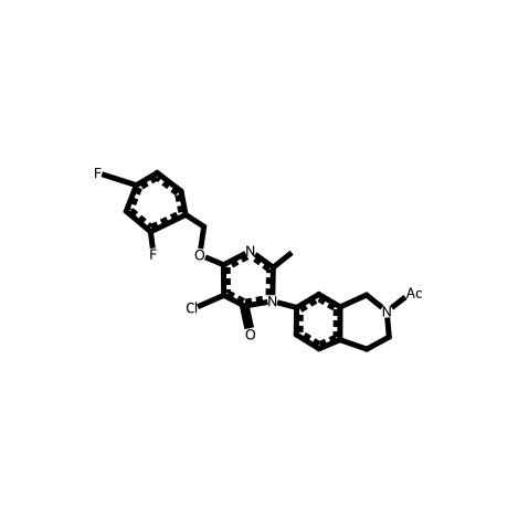 CC(=O)N1CCc2ccc(-n3c(C)nc(OCc4ccc(F)cc4F)c(Cl)c3=O)cc2C1